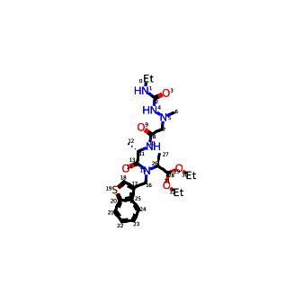 CCNC(=O)NN(C)CC(=O)N[C@@H](C)C(=O)N(Cc1csc2ccccc12)[C@@H](C)C(OCC)OCC